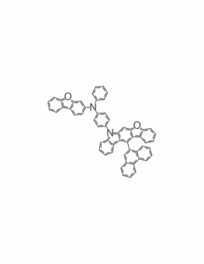 c1ccc(N(c2ccc(-n3c4ccccc4c4c(-c5cc6ccccc6c6ccccc56)c5c(cc43)oc3ccccc35)cc2)c2ccc3c(c2)oc2ccccc23)cc1